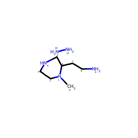 CN1CCNCC1CCN.NN